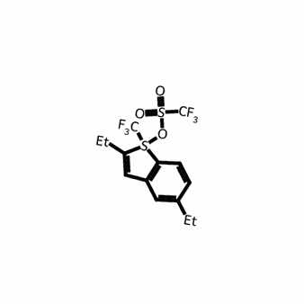 CCC1=Cc2cc(CC)ccc2S1(OS(=O)(=O)C(F)(F)F)C(F)(F)F